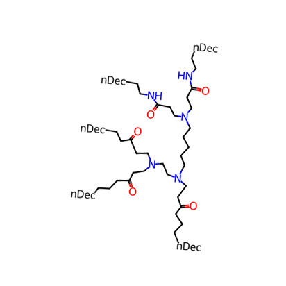 CCCCCCCCCCCCCC(=O)CCN(CCCCCN(CCC(=O)NCCCCCCCCCCCC)CCC(=O)NCCCCCCCCCCCC)CCN(CCC(=O)CCCCCCCCCCCC)CCC(=O)CCCCCCCCCCCCC